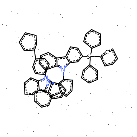 c1ccc(-c2ccc(-n3c4ccccc4c4cccc(-n5c6cc([Si](c7ccccc7)(c7ccccc7)c7ccccc7)ccc6c6cccc(-n7c8ccccc8c8ccccc87)c65)c43)cc2)cc1